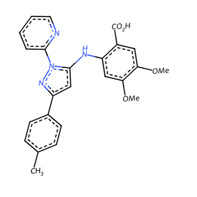 COc1cc(Nc2cc(-c3ccc(C)cc3)nn2-c2ccccn2)c(C(=O)O)cc1OC